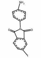 Nc1ccc(N2C(=O)c3ccc(I)cc3C2=O)cc1